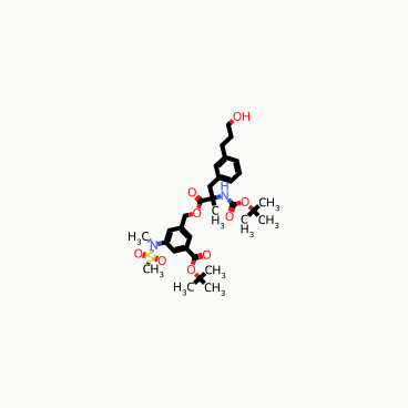 CN(c1cc(COC(=O)C(C)(Cc2cccc(CCCO)c2)NC(=O)OC(C)(C)C)cc(C(=O)OC(C)(C)C)c1)S(C)(=O)=O